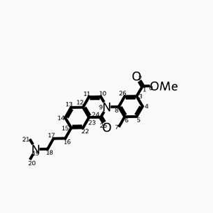 COC(=O)c1ccc(C)c(-n2ccc3ccc(CCCN(C)C)cc3c2=O)c1